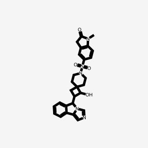 CN1C(=O)Cc2cc(S(=O)(=O)N3CCC4(CC3)CC(C3c5ccccc5-c5cncn53)C4O)ccc21